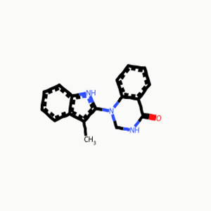 Cc1c(N2CNC(=O)c3ccccc32)[nH]c2ccccc12